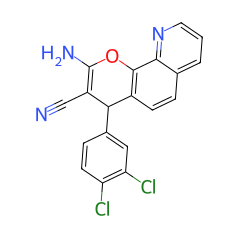 N#CC1=C(N)Oc2c(ccc3cccnc23)C1c1ccc(Cl)c(Cl)c1